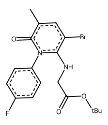 Cc1cc(Br)c(NCC(=O)OC(C)(C)C)n(-c2ccc(F)cc2)c1=O